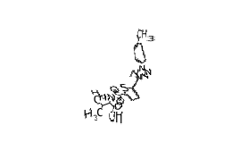 Cc1ccc(-n2nnc(-c3ccc(S(=O)(=O)NC(C(=O)O)C(C)C)s3)n2)cc1